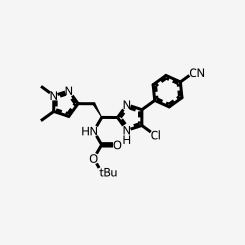 Cc1cc(C[C@H](NC(=O)OC(C)(C)C)c2nc(-c3ccc(C#N)cc3)c(Cl)[nH]2)nn1C